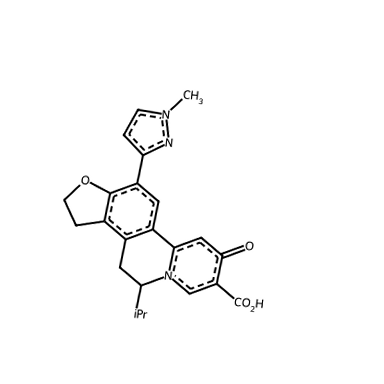 CC(C)C1Cc2c(cc(-c3ccn(C)n3)c3c2CCO3)-c2cc(=O)c(C(=O)O)cn21